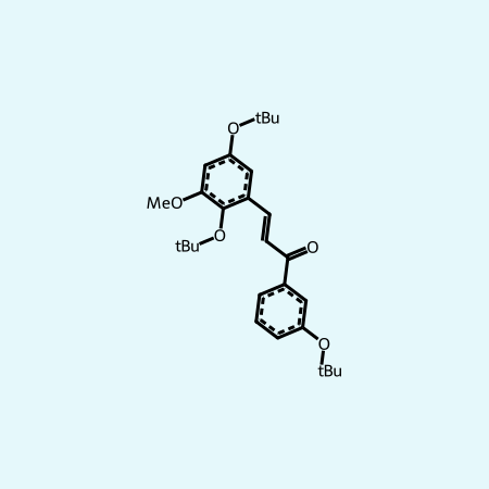 COc1cc(OC(C)(C)C)cc(C=CC(=O)c2cccc(OC(C)(C)C)c2)c1OC(C)(C)C